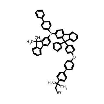 CC(C)CC(C)(C)c1ccc(-c2ccc(Oc3ccc(C4(c5ccccc5)c5ccccc5-c5ccc(N(c6ccc(-c7ccccc7)cc6)c6ccc7c(c6)C(C)(C)c6ccccc6-7)cc54)cc3)cc2)cc1